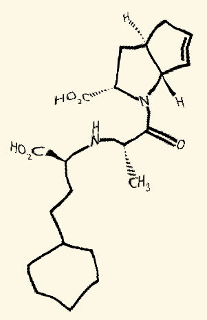 C[C@H](N[C@@H](CCC1CCCCC1)C(=O)O)C(=O)N1[C@H](C(=O)O)C[C@H]2CC=C[C@@H]21